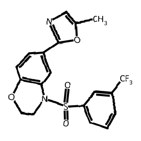 Cc1cnc(-c2ccc3c(c2)N(S(=O)(=O)c2cccc(C(F)(F)F)c2)CCO3)o1